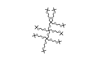 CC(C)(C)OCCOCC(COCCOC(C)(C)C)(COCCOC(C)(C)C)COCC(COCCOC(C)(C)C)(COCCOC(C)(C)C)COCC(COCCOC(C)(C)C)(COCCOC(C)(C)C)COCCOC(C)(C)C